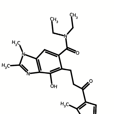 CCN(CC)C(=O)c1cc2c(nc(C)n2C)c(O)c1CCC(=O)c1ccsc1C